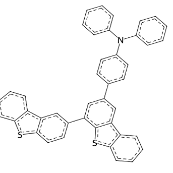 c1ccc(N(c2ccccc2)c2ccc(-c3cc(-c4ccc5sc6ccccc6c5c4)c4sc5ccccc5c4c3)cc2)cc1